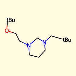 CC(C)(C)CN1CCCN(CCOC(C)(C)C)C1